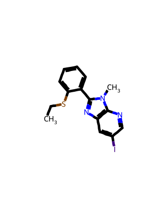 CCSc1ccccc1-c1nc2cc(I)cnc2n1C